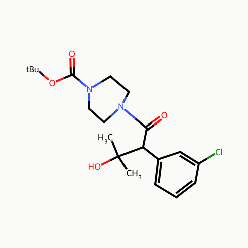 CC(C)(C)OC(=O)N1CCN(C(=O)C(c2cccc(Cl)c2)C(C)(C)O)CC1